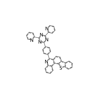 c1ccc(-c2nc(-c3ccc(-c4nc5ccccc5c5c4ccc4c6ccccc6sc45)cc3)nc(-c3ccccn3)n2)nc1